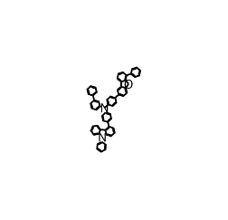 c1ccc(-c2cccc(N(c3ccc(-c4ccc5oc6c(-c7ccccc7)cccc6c5c4)cc3)c3ccc(-c4cccc5c4c4ccccc4n5-c4ccccc4)cc3)c2)cc1